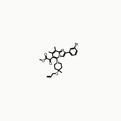 C=CCOC1(C)CCN(c2c(C(=O)C(=O)OC)c(C)c(C)c3nc(-c4cccc(Br)c4)cn23)CC1